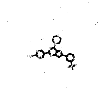 CS(=O)(=O)c1cc(-c2cc3nc(-c4cnc(N)nc4)nc(N4CCOCC4)c3s2)ccn1